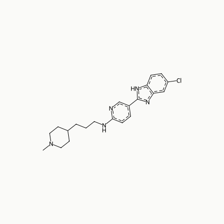 CN1CCC(CCCNc2ccc(-c3nc4cc(Cl)ccc4[nH]3)cn2)CC1